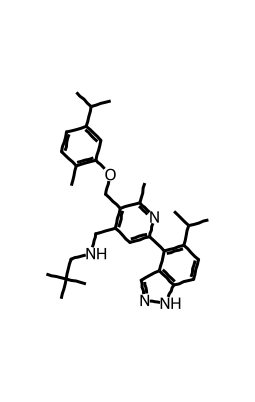 Cc1ccc(C(C)C)cc1OCc1c(CNCC(C)(C)C)cc(-c2c(C(C)C)ccc3[nH]ncc23)nc1C